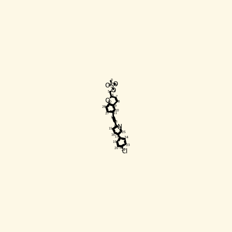 CS(=O)(=O)OCC1C=Cc2cc(C#Cc3ccc(-c4ccc(Cl)cc4)cn3)ccc2O1